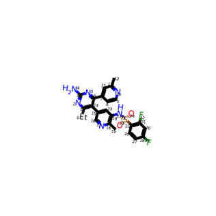 CCc1nc(N)nc(-c2ccnc(C)c2)c1-c1cnc(C)c(NS(=O)(=O)c2ccc(F)cc2F)c1